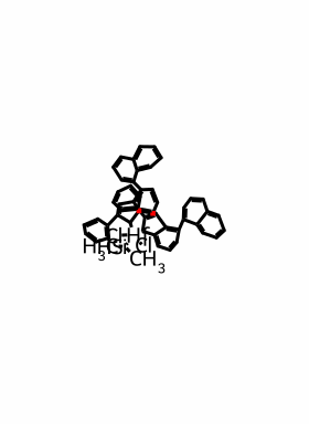 C[SiH](C)[Hf]([Cl])([Cl])([CH]1C(c2ccccc2)=Cc2c(-c3cccc4ccccc34)cccc21)[CH]1C(c2ccccc2)=Cc2c(-c3cccc4ccccc34)cccc21